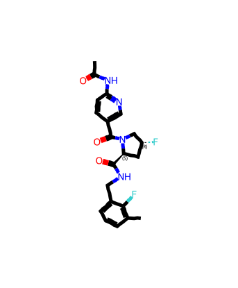 CC(=O)Nc1ccc(C(=O)N2C[C@H](F)C[C@H]2C(=O)NCc2cccc(C)c2F)cn1